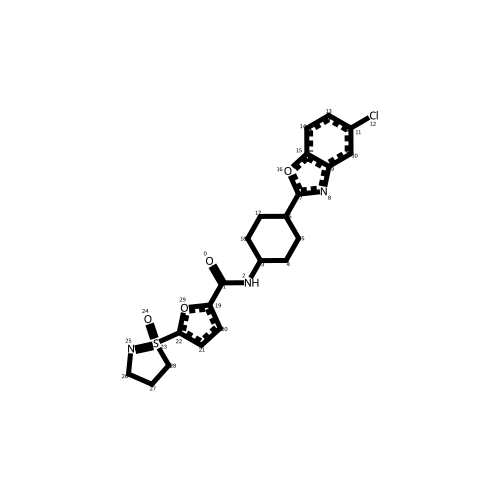 O=C(NC1CCC(c2nc3cc(Cl)ccc3o2)CC1)c1ccc(S2(=O)=NCCC2)o1